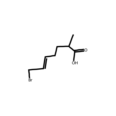 CC(CCC=CCBr)C(=O)O